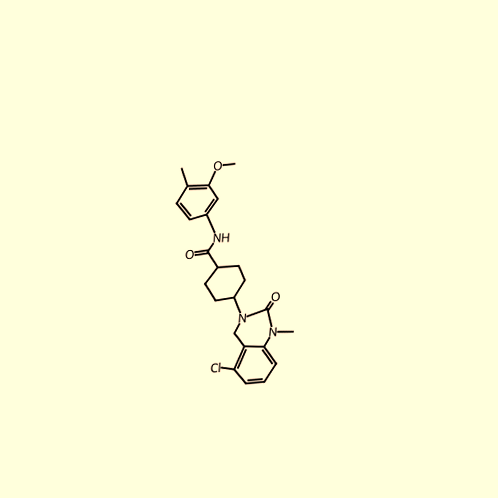 COc1cc(NC(=O)C2CCC(N3Cc4c(Cl)cccc4N(C)C3=O)CC2)ccc1C